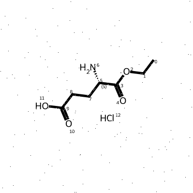 CCOC(=O)[C@@H](N)CCC(=O)O.Cl